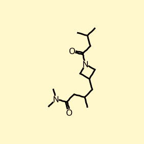 CC(C)CC(=O)N1CC(CC(C)CC(=O)N(C)C)C1